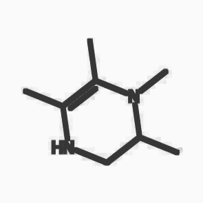 CC1=C(C)N(C)C(C)CN1